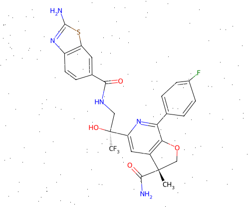 C[C@]1(C(N)=O)COc2c1cc([C@@](O)(CNC(=O)c1ccc3nc(N)sc3c1)C(F)(F)F)nc2-c1ccc(F)cc1